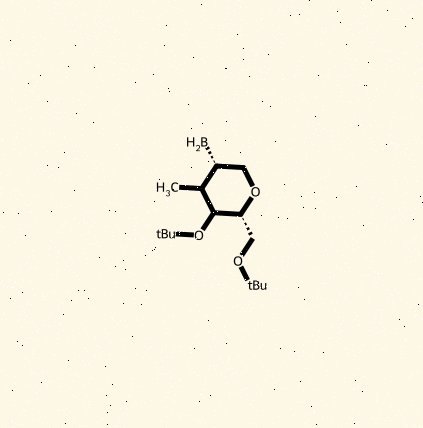 B[C@@H]1CO[C@H](COC(C)(C)C)C(OC(C)(C)C)C1C